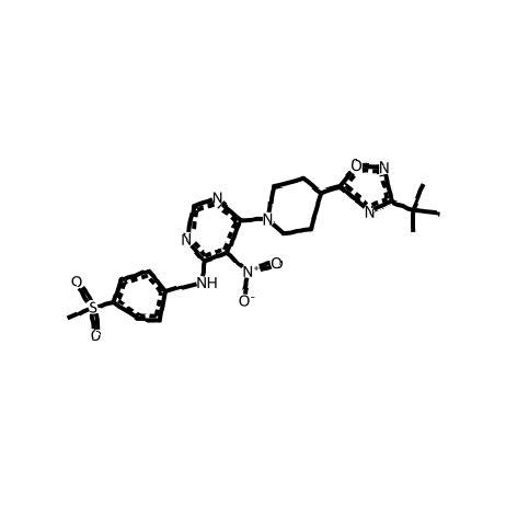 CC(C)(C)c1noc(C2CCN(c3ncnc(Nc4ccc(S(C)(=O)=O)cc4)c3[N+](=O)[O-])CC2)n1